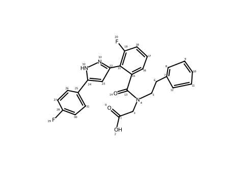 O=C(O)CN(CCc1ccccc1)C(=O)c1cccc(F)c1-c1cc(-c2ccc(F)cc2)[nH]n1